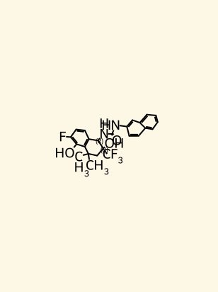 CC1(C)C[C@](O)(C(F)(F)F)[C@H](NC(=O)Nc2ccc3ccccc3c2)c2ccc(F)c(O)c21